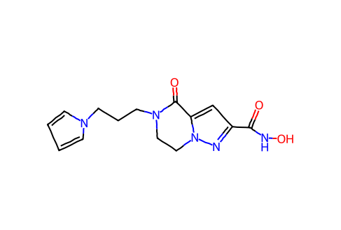 O=C(NO)c1cc2n(n1)CCN(CCCn1cccc1)C2=O